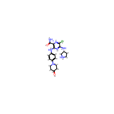 NC(=O)c1nc(Br)c(N[C@@H]2CCNC2)nc1Nc1ccc(N2CCC(=O)CC2)cc1